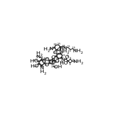 CN(C(=O)C1(O)CC(N)C1)[C@@H]1C[C@H](N)[C@@H](O[C@H]2O[C@H](CNCCCN)CC[C@H]2N)[C@H](O[C@@H]2O[C@H](CO)[C@@H](O[C@H]3O[C@@H](CN)[C@@H](O)[C@H](O)[C@H]3N)[C@H]2O)[C@H]1O